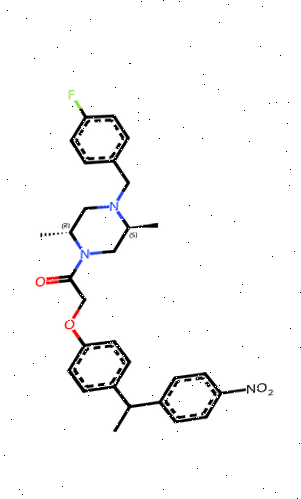 CC(c1ccc(OCC(=O)N2C[C@H](C)N(Cc3ccc(F)cc3)C[C@H]2C)cc1)c1ccc([N+](=O)[O-])cc1